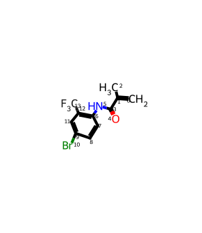 C=C(C)C(=O)Nc1ccc(Br)cc1C(F)(F)F